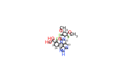 COc1cc(OC)c(F)c(N2Cc3cnc4[nH]ncc4c3N(c3cccc(C(O)O)c3F)C2=O)c1F